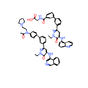 CCn1nc(-c2cccc(-c3ccc(N(CCN4CCCC4)C(C)=O)cc3)c2)cc(Nc2cncc3ccccc23)c1=O.CCn1nc(-c2cccc(-c3cccc(C(=O)NCC(=O)O)c3)c2)cc(Nc2cccc3ncccc23)c1=O